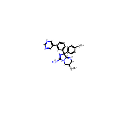 COc1ccc(C2(c3cccc(-c4cncnc4)c3)N=C(N)N3CC(NC(C)=O)CN=C32)cc1